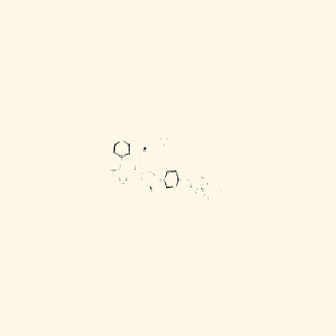 COC(=O)Cc1cccc(CC(=O)OC)c1OCC1CN(c2ccc(CNC(=N)N)cc2)C(=O)O1